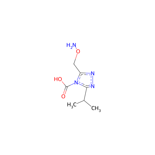 CC(C)c1nnc(CON)n1C(=O)O